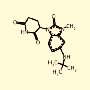 Cn1c(=O)n(C2CCC(=O)NC2=O)c2ccc(NC(C)(C)C)cc21